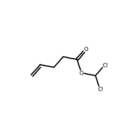 C=CCCC(=O)OC(Cl)Cl